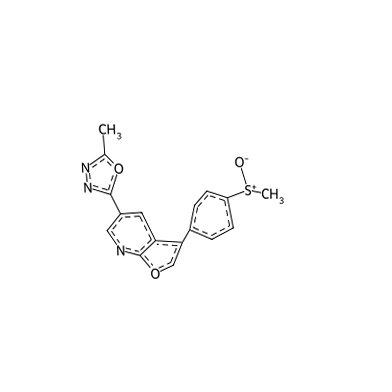 Cc1nnc(-c2cnc3occ(-c4ccc([S+](C)[O-])cc4)c3c2)o1